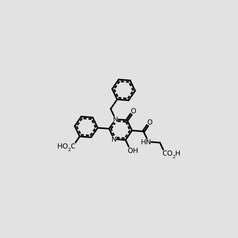 O=C(O)CNC(=O)c1c(O)nc(-c2cccc(C(=O)O)c2)n(Cc2ccccc2)c1=O